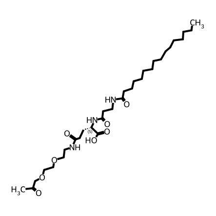 CCCCCCCCCCCCCCCC(=O)NCCC(=O)N[C@@H](CCC(=O)NCCOCCOCC(C)=O)C(=O)O